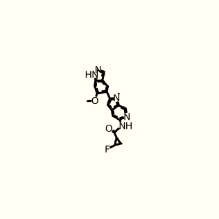 COc1cc2[nH]ncc2cc1-c1cc2cc(NC(=O)C3CC3F)ncc2n1C